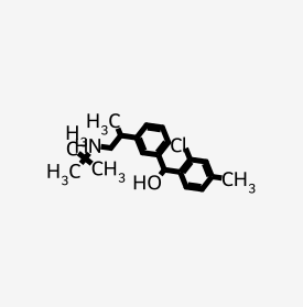 Cc1ccc(C(O)c2cccc(C(C)CNC(C)(C)C)c2)c(Cl)c1